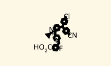 N#Cc1ccc(C(c2ccc(Cl)cc2)c2ccc3nc(C4CC4)n(C4CCN(Cc5cc(C(=O)O)ccc5F)CC4)c3c2)cc1